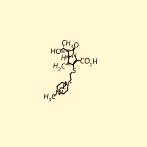 C[C@@H](O)[C@H]1C(=O)N2C(C(=O)O)=C(SCC[N+]34CC[N+](C)(CC3)CC4)[C@H](C)[C@@H]12